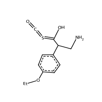 CCOc1ccc(C(CN)C(O)=S=C=O)cc1